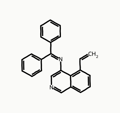 C=Cc1cccc2cncc(N=C(c3ccccc3)c3ccccc3)c12